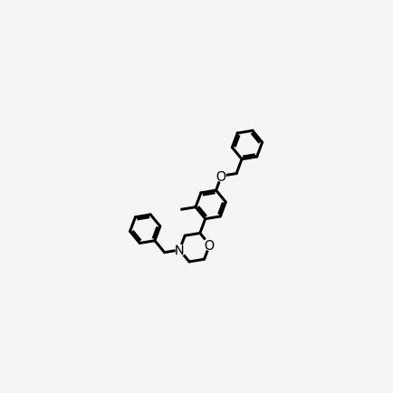 Cc1cc(OCc2ccccc2)ccc1C1CN(Cc2ccccc2)CCO1